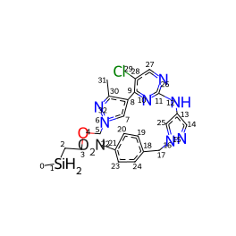 C[SiH2]CCOCn1cc(-c2nc(Nc3cnn(Cc4ccc([N+](=O)[O-])cc4)c3)ncc2Cl)c(C)n1